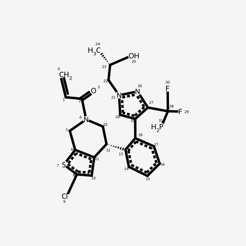 C=CC(=O)N1Cc2sc(Cl)cc2[C@@H](c2ccccc2-c2cn(C[C@H](C)O)nc2C(F)(F)P)C1